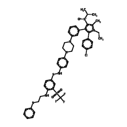 CCn1c(C)c([S+]([O-])C(C)C)c(-c2cccc(N3CCN(c4ccc(NSc5ccc(NCCSc6ccccc6)c(S(=O)(=O)C(F)(F)F)c5)cc4)CC3)c2)c1-c1ccc(Cl)cc1